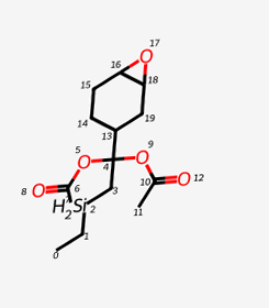 CC[SiH2]CC(OC(C)=O)(OC(C)=O)C1CCC2OC2C1